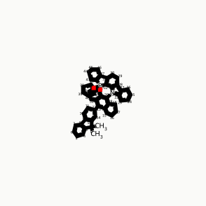 CC1(C)c2ccccc2-c2ccc(-c3c4ccccc4c(-n4c5ccccc5c5ccc6c(c54)P(=O)(c4ccccc4)c4ccccc4-6)c4ccccc34)cc21